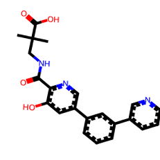 CC(C)(CNC(=O)c1ncc(-c2cccc(-c3cccnc3)c2)cc1O)C(=O)O